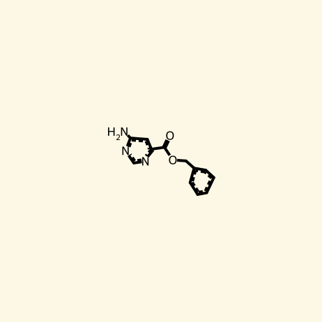 Nc1cc(C(=O)OCc2ccccc2)ncn1